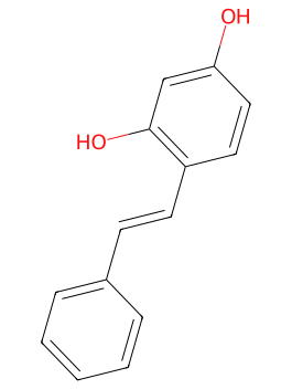 Oc1ccc(C=Cc2ccccc2)c(O)c1